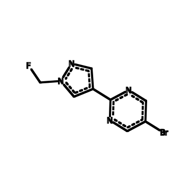 FCn1cc(-c2ncc(Br)cn2)cn1